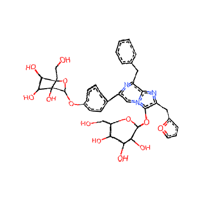 OCC1OC(Oc2c(Cc3ccco3)nc3c(Cc4ccccc4)nc(-c4ccc(OC5OC6(CO)C(O)C(O)C56O)cc4)cn23)C(O)C(O)C1O